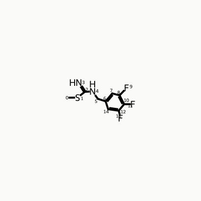 CSC(=N)NCc1cc(F)c(F)c(F)c1